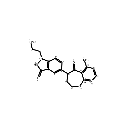 COCCn1[nH]c(=O)c2cc(C3CCOc4ncnc(N)c4C3=O)ccc21